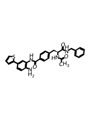 CC(=O)N[C@@H](Cc1ccc(C(=O)Nc2cc(-c3cccs3)ccc2N)cc1)C(=O)NCc1ccccc1